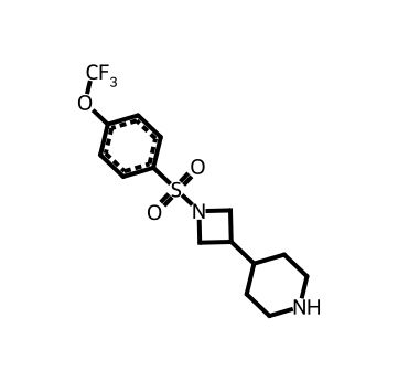 O=S(=O)(c1ccc(OC(F)(F)F)cc1)N1CC(C2CCNCC2)C1